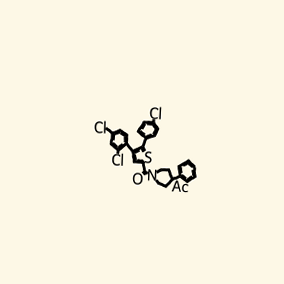 CC(=O)C1(c2ccccc2)CCN(C(=O)c2cc(-c3ccc(Cl)cc3Cl)c(-c3ccc(Cl)cc3)s2)CC1